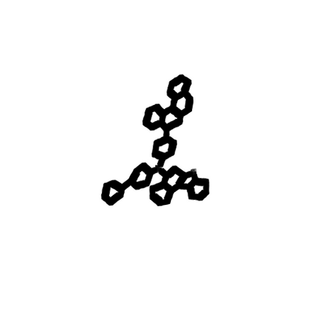 c1ccc(-c2ccc(N(c3ccc(-c4cc5ccc6ccccc6c5c5ccccc45)cc3)c3cc4sc5ccccc5c4c4ccccc34)cc2)cc1